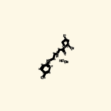 Cl.Cl.N#C[C@@H]1C[C@H](F)CN1C(=O)CNCCNc1ccc(Cl)cn1